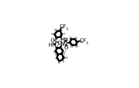 O=S(=O)(Nc1cc2ccccc2cc1NS(=O)(=O)c1ccc(C(F)(F)F)cc1)c1ccc(C(F)(F)F)cc1